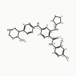 CN1CCNCC1c1ccc(Nc2ncc(C(=O)Nc3ccc(Cl)cc3Cl)c(NC3CCCC3)n2)cc1